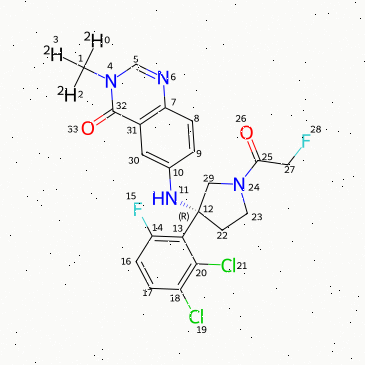 [2H]C([2H])([2H])n1cnc2ccc(N[C@@]3(c4c(F)ccc(Cl)c4Cl)CCN(C(=O)CF)C3)cc2c1=O